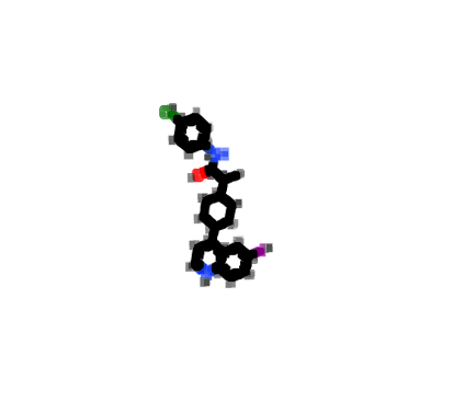 CC(C(=O)Nc1ccc(Cl)cc1)C1CCC(c2ccnc3ccc(I)cc23)CC1